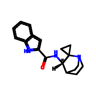 O=C(N[C@H]1C2CCN(CC2)C12CC2)c1cc2ccccc2[nH]1